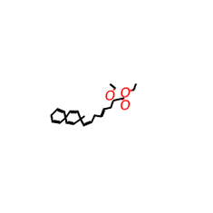 CCOC(=O)C(C/C=C/C/C=C\C1(C)C=CC2(C=CCC=C2)C=C1)OCC